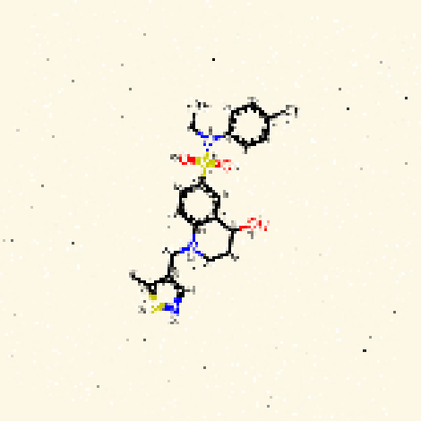 CCc1ccc(N(CC(C)C)S(=O)(=O)c2ccc3c(c2)C(O)CCN3Cc2cnsc2C)cc1